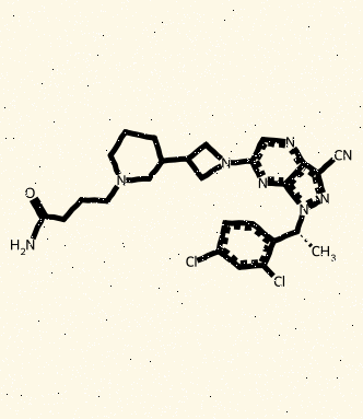 C[C@H](c1ccc(Cl)cc1Cl)n1nc(C#N)c2ncc(N3CC(C4CCCN(CCCC(N)=O)C4)C3)nc21